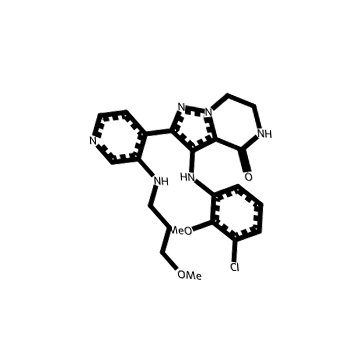 COCCCNc1cnccc1-c1nn2c(c1Nc1cccc(Cl)c1OC)C(=O)NCC2